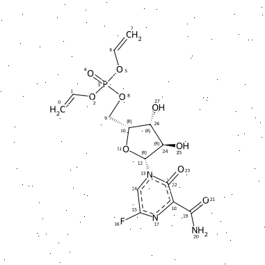 C=COP(=O)(OC=C)OC[C@H]1O[C@@H](n2cc(F)nc(C(N)=O)c2=O)[C@H](O)[C@H]1O